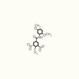 COc1ccc(OC)c(NC(=O)c2cc([N+](=O)[O-])c(C)c([N+](=O)[O-])c2)c1